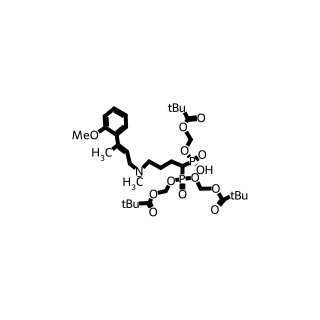 COc1ccccc1/C(C)=C/CN(C)CCCC(P(=O)(O)OCOC(=O)C(C)(C)C)P(=O)(OCOC(=O)C(C)(C)C)OCOC(=O)C(C)(C)C